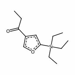 CCC(=O)c1coc([Si](CC)(CC)CC)c1